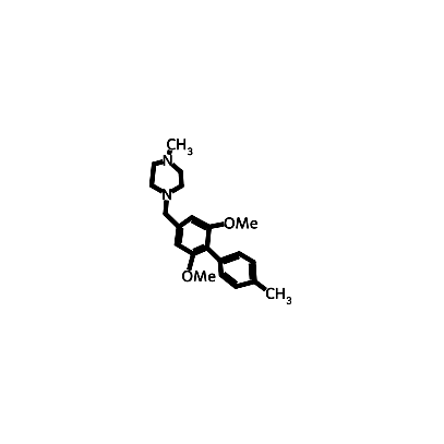 COc1cc(CN2CCN(C)CC2)cc(OC)c1-c1ccc(C)cc1